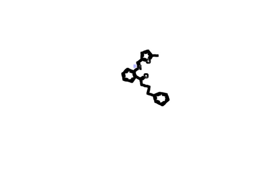 Cc1ccc(/C=N/c2ccccc2C(=O)CCCc2ccccc2)o1